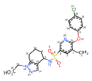 Cc1cc(S(=O)(=O)NC2CCCc3c2cnn3CC(=O)O)cnc1Oc1ccc(Cl)cc1